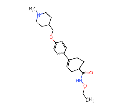 CCONC(=O)C1CC=C(c2ccc(OCC3CCN(C)CC3)cc2)CC1